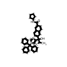 CC(C)C(O)(c1ccc2cc(C(=O)NC3CCCC3)ccc2c1)c1cn(C(c2ccccc2)(c2ccccc2)c2ccccc2)cn1